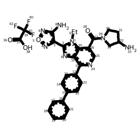 CCn1c(-c2nonc2N)nc2c(-c3ccc(-c4ccccc4)cc3)ncc(C(=O)N3CCC(N)C3)c21.O=C(O)C(F)(F)F